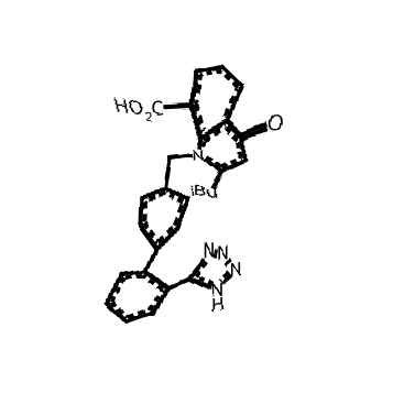 CCC(C)c1cc(=O)c2cccc(C(=O)O)c2n1Cc1ccc(-c2ccccc2-c2nnn[nH]2)cc1